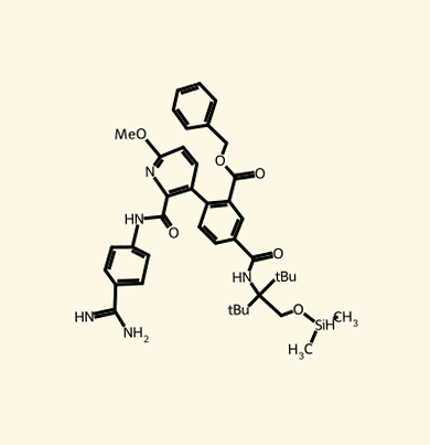 COc1ccc(-c2ccc(C(=O)NC(CO[SiH](C)C)(C(C)(C)C)C(C)(C)C)cc2C(=O)OCc2ccccc2)c(C(=O)Nc2ccc(C(=N)N)cc2)n1